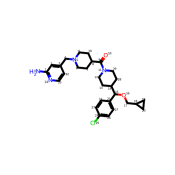 Nc1cc(CN2CCC(C(=O)N3CCC(C(OCC4CC4)c4ccc(Cl)cc4)CC3)CC2)ccn1